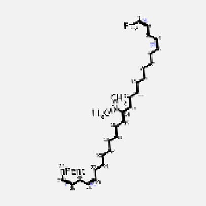 CC/C=C\C/C=C\CCCCCCCCC(CCCCCCCC/C=C\C/C=C\CCCCC)N(C)C